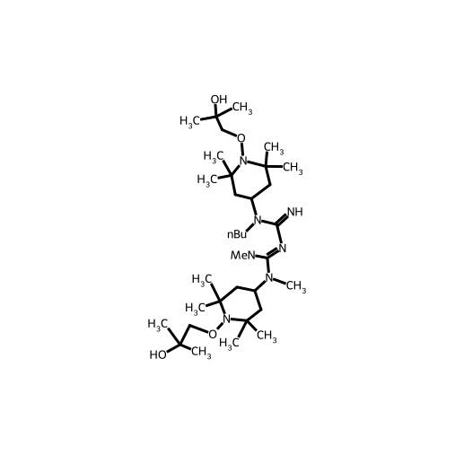 CCCCN(C(=N)/N=C(\NC)N(C)C1CC(C)(C)N(OCC(C)(C)O)C(C)(C)C1)C1CC(C)(C)N(OCC(C)(C)O)C(C)(C)C1